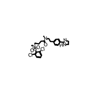 CN(CCc1ccc(C2=NCCN2)cc1)C(=O)CCCN(C)S(=O)(=O)c1c(Cl)cccc1Cl